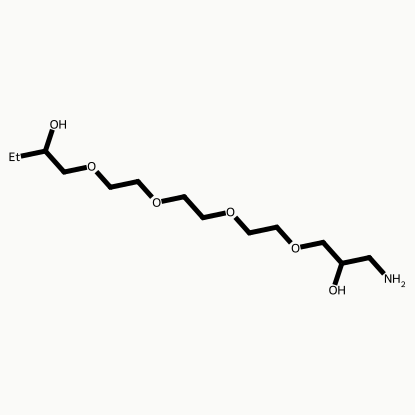 CCC(O)COCCOCCOCCOCC(O)CN